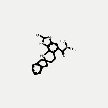 CC1Nc2cc(C(=O)N(C)C)c3c(c2N1)NC1(CC3)Cc2ccccc2C1